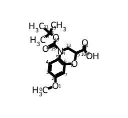 COc1ccc2c(c1)OC(C(=O)O)CN2C(=O)OC(C)(C)C